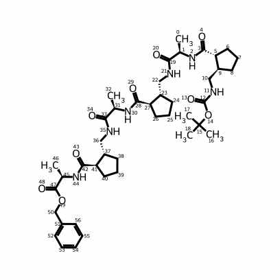 C[C@@H](NC(=O)[C@@H]1CCC[C@H]1CNC(=O)OC(C)(C)C)C(=O)NC[C@@H]1CCC[C@H]1C(=O)N[C@H](C)C(=O)NC[C@@H]1CCC[C@H]1C(=O)N[C@H](C)C(=O)OCc1ccccc1